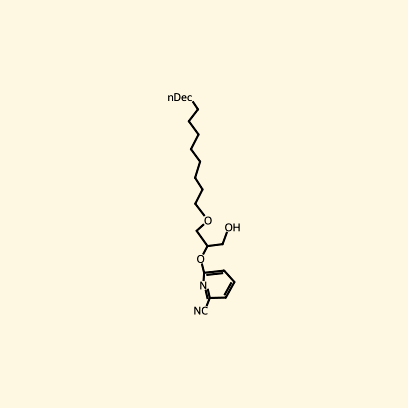 CCCCCCCCCCCCCCCCCCOCC(CO)Oc1cccc(C#N)n1